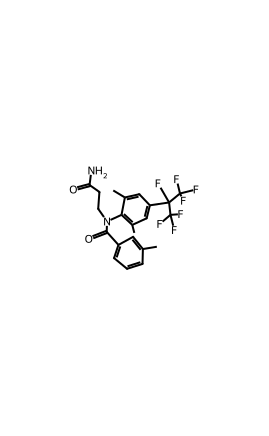 Cc1cccc(C(=O)N(CCC(N)=O)c2c(C)cc(C(F)(C(F)(F)F)C(F)(F)F)cc2C)c1